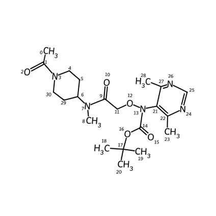 CC(=O)N1CCC(N(C)C(=O)CON(C(=O)OC(C)(C)C)c2c(C)ncnc2C)CC1